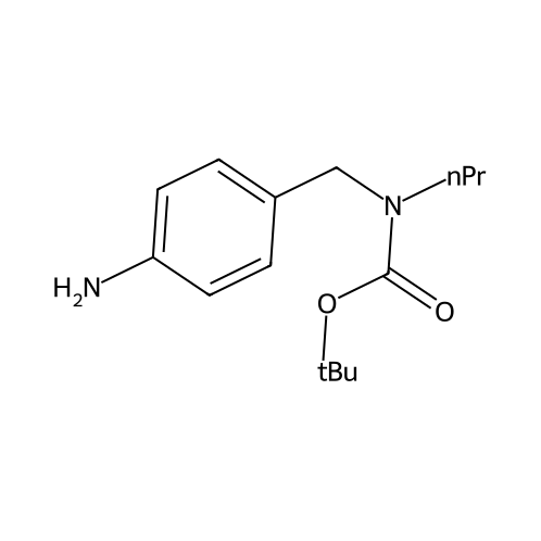 CCCN(Cc1ccc(N)cc1)C(=O)OC(C)(C)C